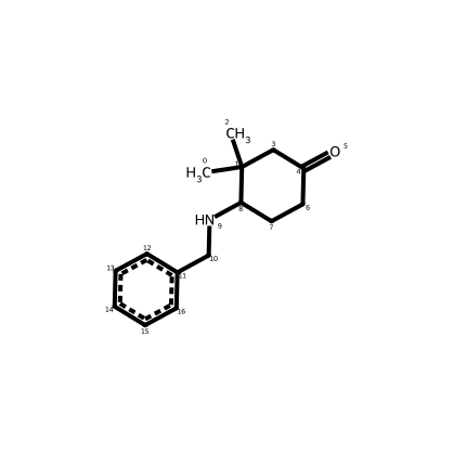 CC1(C)CC(=O)CCC1NCc1ccccc1